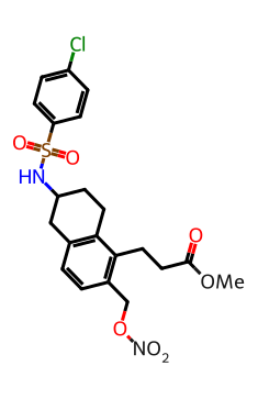 COC(=O)CCc1c(CO[N+](=O)[O-])ccc2c1CCC(NS(=O)(=O)c1ccc(Cl)cc1)C2